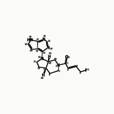 O=C(/C=C/CF)N1CC[C@@H]2CCN(c3ncnc4[nH]ccc34)[C@@H]2C1